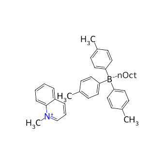 CCCCCCCC[B-](c1ccc(C)cc1)(c1ccc(C)cc1)c1ccc(C)cc1.C[n+]1cccc2ccccc21